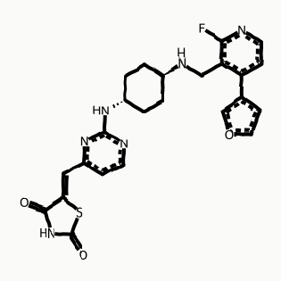 O=C1NC(=O)/C(=C/c2ccnc(N[C@H]3CC[C@H](NCc4c(-c5ccoc5)ccnc4F)CC3)n2)S1